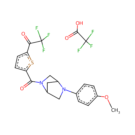 COc1ccc(N2CC3CC2CN3C(=O)c2ccc(C(=O)C(F)(F)F)s2)cc1.O=C(O)C(F)(F)F